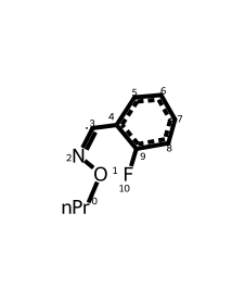 CCCO/N=[C]\c1ccccc1F